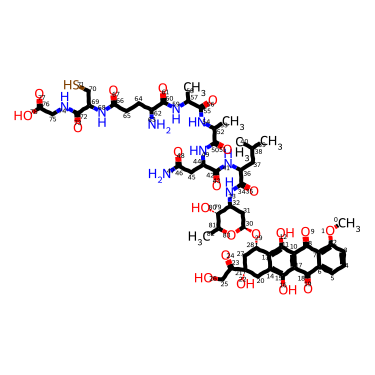 COc1cccc2c1C(=O)c1c(O)c3c(c(O)c1C2=O)C[C@@](O)(C(=O)CO)C[C@@H]3O[C@@H]1CC(NC(=O)C(CC(C)C)NC(=O)C(CC(N)=O)NC(=O)C(C)NC(=O)C(C)NC(=O)C(N)CCC(=O)NC(CS)C(=O)NCC(=O)O)[C@@H](O)C(C)O1